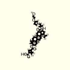 COCCO[C@@H]1CCN(CC(C)(C)NC(=O)[C@]23CC[C@@H](C(C)C)[C@@H]2C2CC[C@@H]4[C@@]5(C)CC[C@H](OC(=O)C6C[C@@H](C(=O)O)C6(C)C)C(C)(C)[C@@H]5CC[C@@]4(C)[C@]2(C)CC3)C1